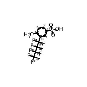 Cc1ccc(S(=O)(=O)O)cc1C(F)(F)C(F)(F)C(F)(F)C(F)(F)F